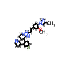 COc1cc(/C=C/c2nc3n(n2)CCCC3c2ccc(F)cc2-c2cccnc2)ccc1-n1cnc(C)c1